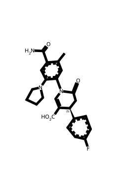 Cc1cc(N2C=C(C(=O)O)[C@H](c3ccc(F)cc3)CC2=O)c(N2CCCC2)cc1C(N)=O